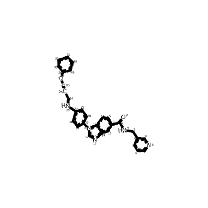 O=C(NCc1cccnc1)c1ccc2c(c1)ncn2-c1ccc(NCCCOc2ccccc2)cc1